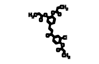 C=CC(=O)Oc1ccc(C(=O)/C=C/c2ccc(OC(=O)C=C)c(OC(=O)C=C)c2)cc1Cl